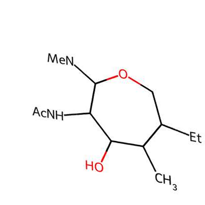 CCC1COC(NC)C(NC(C)=O)C(O)C1C